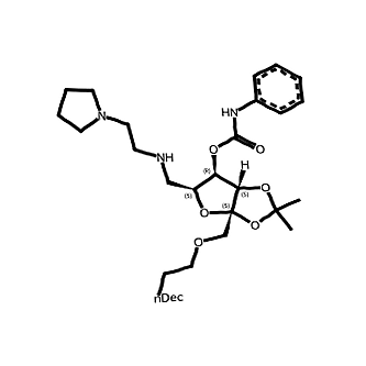 CCCCCCCCCCCCOC[C@@]12O[C@@H](CNCCN3CCCC3)[C@@H](OC(=O)Nc3ccccc3)[C@@H]1OC(C)(C)O2